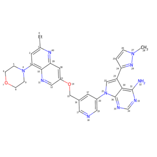 CCc1cc(N2CCOCC2)c2ncc(OCc3cncc(-n4cc(-c5ccn(C)n5)c5c(N)ncnc54)c3)cc2n1